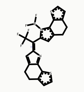 FB(F)n1c(/C(=C2/C=C3CCc4ccsc4C3=N2)C(F)(F)F)cc2c1-c1sccc1CC2